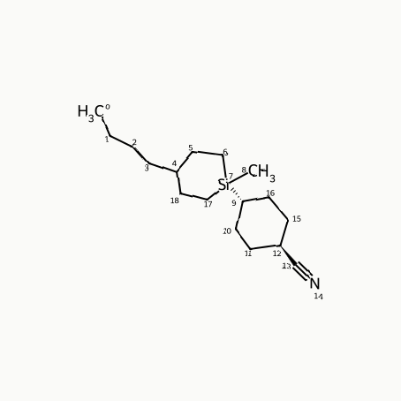 CCCCC1CC[Si](C)([C@H]2CC[C@H](C#N)CC2)CC1